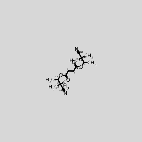 CC(OC(=O)CCC(=O)OC(C)C(C)(C)C#N)C(C)(C)C#N